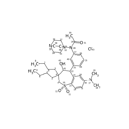 CCCCC1(CCCC)CS(=O)(=O)c2ccc(N(C)C)cc2C(c2cccc(N(C(C)=O)[N+]34CCN(CC3)CC4)c2)C1O.[Cl-]